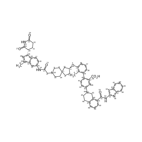 Cc1c(O[C@H]2CCC3(CCN(CC(=O)Nc4ccc5c([C@H]6CCC(=O)NC6=O)nn(C)c5c4)CC3)C2)cccc1-c1ccc(N2CCc3cccc(C(=O)Nc4nc5ccccc5s4)c3C2)nc1C(=O)O